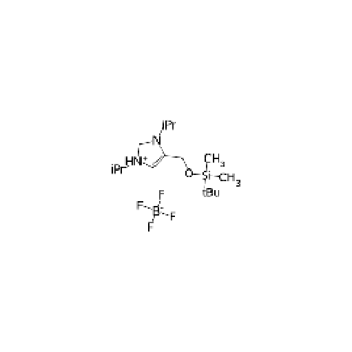 CC(C)N1C[NH+](C(C)C)C=C1CO[Si](C)(C)C(C)(C)C.F[B-](F)(F)F